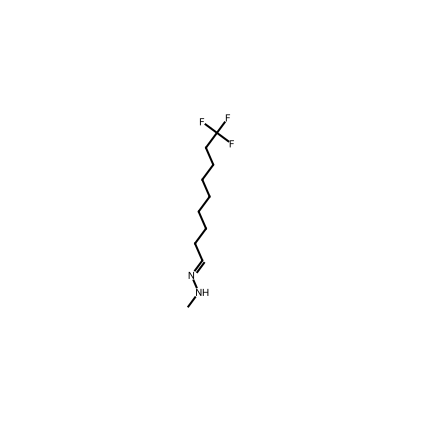 CN/N=C/CCCCCCCC(F)(F)F